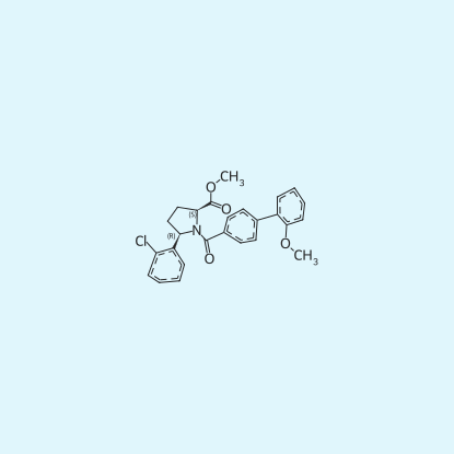 COC(=O)[C@@H]1CC[C@H](c2ccccc2Cl)N1C(=O)c1ccc(-c2ccccc2OC)cc1